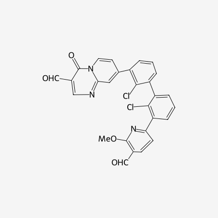 COc1nc(-c2cccc(-c3cccc(-c4ccn5c(=O)c(C=O)cnc5c4)c3Cl)c2Cl)ccc1C=O